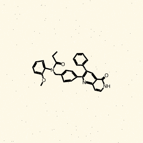 CCC(=O)N(Cc1ccc(-c2nc3cc[nH]c(=O)c3cc2-c2ccccc2)cc1)c1ccccc1OC